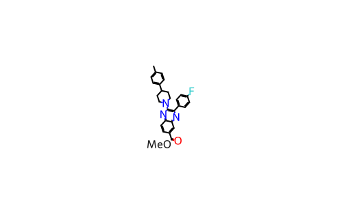 COC(=O)c1ccc2nc(N3CCC(c4ccc(C)cc4)CC3)c(-c3ccc(F)cc3)nc2c1